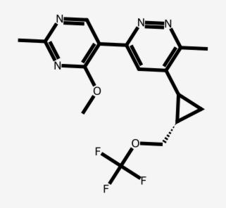 COc1nc(C)ncc1-c1cc(C2C[C@@H]2COC(F)(F)F)c(C)nn1